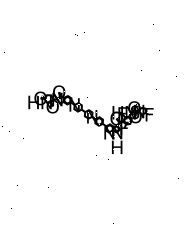 O=C1CCC(N2Cc3cc(N4CCC(C5CCN(c6ccc(-c7cnc8[nH]cc(C(=O)c9c(F)ccc(NS(=O)(=O)N%10CC[C@@H](F)C%10)c9F)c8c7)cc6)CC5)CC4)ccc3C2=O)C(=O)N1